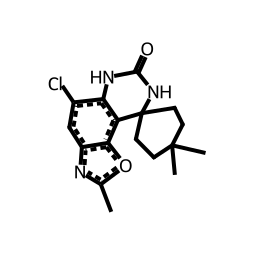 Cc1nc2cc(Cl)c3c(c2o1)C1(CCC(C)(C)CC1)NC(=O)N3